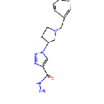 NNC(=O)c1cn(C2CCN(Cc3ccccc3)C2)nn1